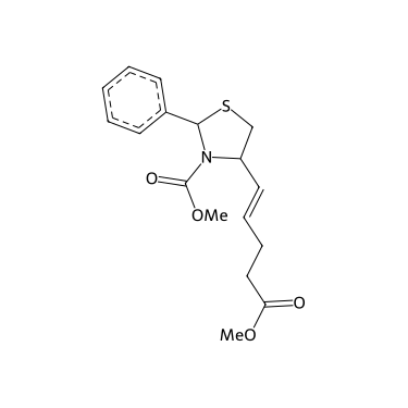 COC(=O)CCC=CC1CSC(c2ccccc2)N1C(=O)OC